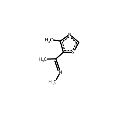 C/N=C(\C)c1scnc1C